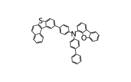 c1ccc(-c2ccc(N(c3ccc(-c4ccc5sc6ccc7ccccc7c6c5c4)cc3)c3cccc4c3oc3ccccc34)cc2)cc1